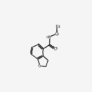 CCONC(=O)c1cccc2c1CCO2